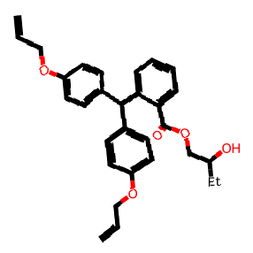 C=CCOc1ccc(C(c2ccc(OCC=C)cc2)c2ccccc2C(=O)OCC(O)CC)cc1